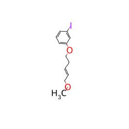 COC/C=C/CCOc1cccc(I)c1